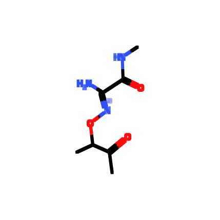 CNC(=O)/C(N)=N/OC(C)C(C)=O